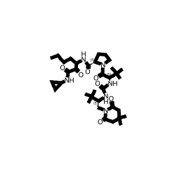 CCCCC(NC(=O)[C@@H]1CCCN1C(=O)[C@@H](NC(=O)N[C@H](CN1C(=O)CC(C)(C)CC1=O)C(C)(C)C)C(C)(C)C)C(=O)C(=O)NC1CC1